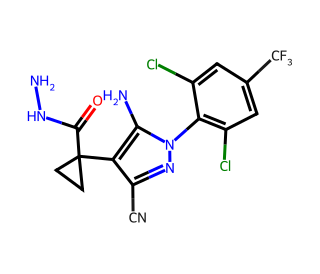 N#Cc1nn(-c2c(Cl)cc(C(F)(F)F)cc2Cl)c(N)c1C1(C(=O)NN)CC1